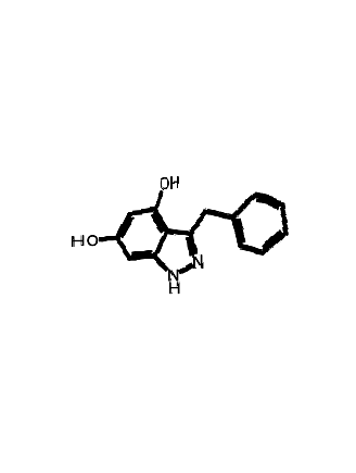 Oc1cc(O)c2c(Cc3ccccc3)n[nH]c2c1